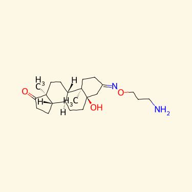 C[C@]12CC[C@H]3[C@@H](CC[C@@]4(O)C/C(=N\OCCCN)CC[C@]34C)[C@@H]1CCC2=O